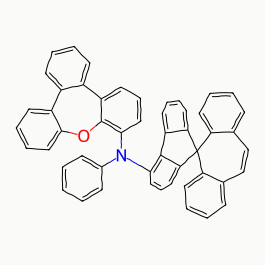 C1=Cc2ccccc2C2(c3ccccc31)c1ccccc1-c1c(N(c3ccccc3)c3cccc4c3Oc3ccccc3-c3ccccc3-4)cccc12